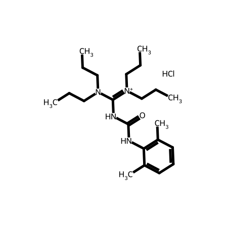 CCCN(CCC)C(NC(=O)Nc1c(C)cccc1C)=[N+](CCC)CCC.Cl